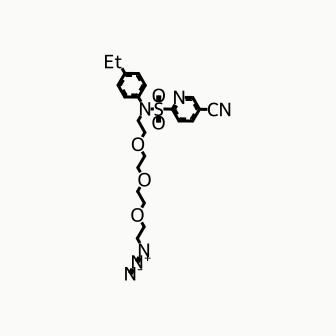 CCc1ccc(N(CCOCCOCCOCCN=[N+]=[N-])S(=O)(=O)c2ccc(C#N)cn2)cc1